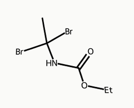 CCOC(=O)NC(C)(Br)Br